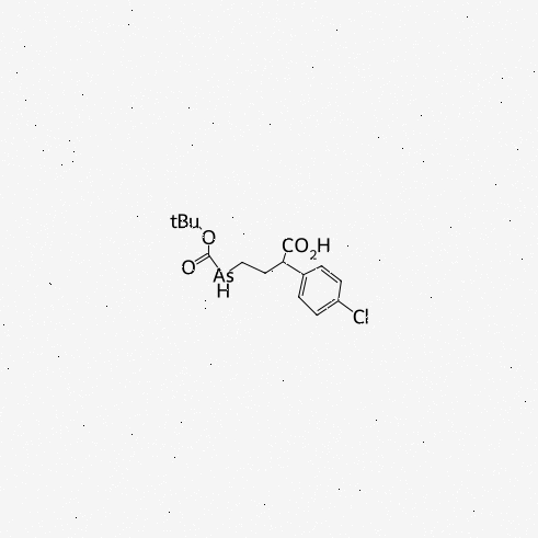 CC(C)(C)OC(=O)[AsH]CCC(C(=O)O)c1ccc(Cl)cc1